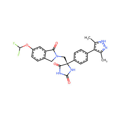 Cc1n[nH]c(C)c1-c1ccc([C@]2(CN3Cc4ccc(OC(F)F)cc4C3=O)NC(=O)NC2=O)cc1